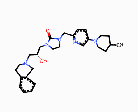 N#CC1CCN(c2ccc(CN3CCN(C[C@H](O)CN4CCc5ccccc5C4)C3=O)nc2)CC1